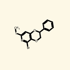 CSc1cc2c(c(Br)n1)OCC(c1ccccc1)O2